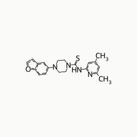 Cc1cc(C)nc(NC(=S)N2CCN(c3ccc4occc4c3)CC2)c1